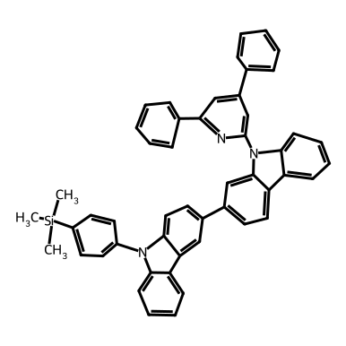 C[Si](C)(C)c1ccc(-n2c3ccccc3c3cc(-c4ccc5c6ccccc6n(-c6cc(-c7ccccc7)cc(-c7ccccc7)n6)c5c4)ccc32)cc1